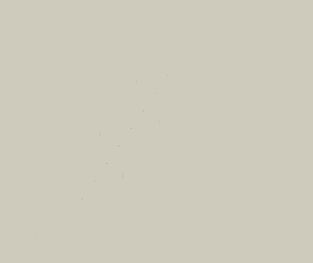 C=CCC(F)(F)C(F)(F)C(F)(F)C(F)(F)C(F)(F)C(F)(F)C(F)(F)C(F)(F)CC(I)CC(C)CCC